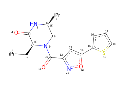 CC(C)C[C@H]1C(=O)N[C@@H](C(C)C)CN1C(=O)c1cc(-c2cccs2)on1